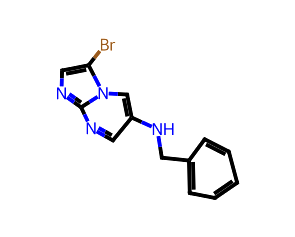 Brc1cnc2ncc(NCc3ccccc3)cn12